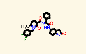 Cc1ccc(C(=O)NC(C(=O)Nc2ccc3c(c2)CC(=O)N3)c2ccccc2)c(=O)n1Cc1ccc(F)c(F)c1